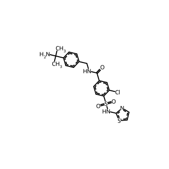 CC(C)(N)c1ccc(CNC(=O)c2ccc(S(=O)(=O)Nc3nccs3)c(Cl)c2)cc1